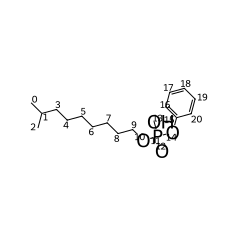 CC(C)CCCCCCCOP(=O)(O)Oc1ccccc1